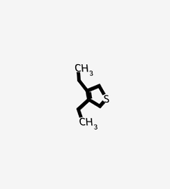 CCC1=C(CC)CSC1